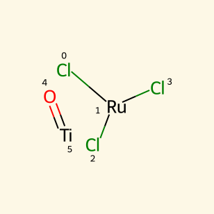 [Cl][Ru]([Cl])[Cl].[O]=[Ti]